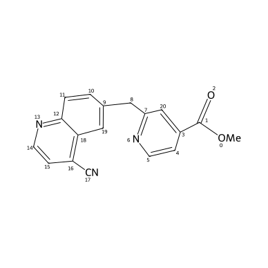 COC(=O)c1ccnc(Cc2ccc3nccc(C#N)c3c2)c1